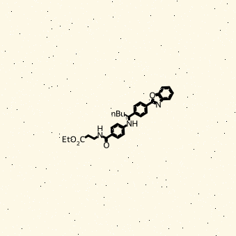 CCCC[C@H](Nc1ccc(C(=O)NCCC(=O)OCC)cc1)c1ccc(-c2nc3ccccc3o2)cc1